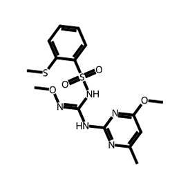 CON=C(Nc1nc(C)cc(OC)n1)NS(=O)(=O)c1ccccc1SC